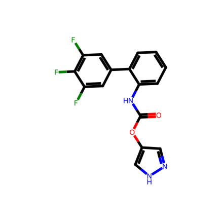 O=C(Nc1ccccc1-c1cc(F)c(F)c(F)c1)Oc1cn[nH]c1